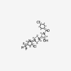 O=C(c1ccc(Cl)cc1)N1CC(O)C(N2CCN(c3ncc(C(F)(F)F)cc3Cl)CC2)C1